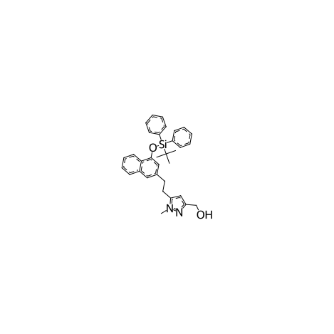 Cn1nc(CO)cc1CCc1cc(O[Si](c2ccccc2)(c2ccccc2)C(C)(C)C)c2ccccc2c1